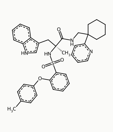 Cc1ccc(Oc2ccccc2S(=O)(=O)N[C@@](C)(Cc2c[nH]c3ccccc23)C(=O)NCC2(c3ccccn3)CCCCC2)cc1